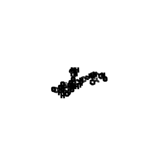 COc1ccc(CN2CCN(C3CC4(CCN(c5cc(Oc6cnc7[nH]ccc7c6)c(C(=O)NS(=O)(=O)c6cc([N+](=O)[O-])c(NCC7(F)CCOCC7)c7occc67)cc5F)CC4)C3)[C@H](c3ccccc3C(C)C)C2)cn1